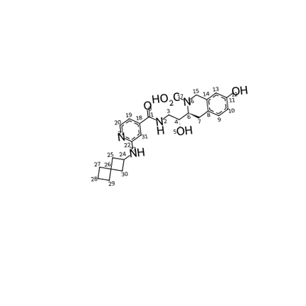 O=C(NC[C@@H](O)[C@@H]1Cc2ccc(O)cc2CN1C(=O)O)c1ccnc(NC2CC3(CCC3)C2)c1